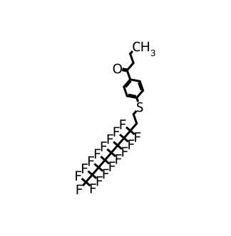 CCCC(=O)c1ccc(SCCC(F)(F)C(F)(F)C(F)(F)C(F)(F)C(F)(F)C(F)(F)C(F)(F)C(F)(F)F)cc1